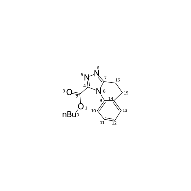 CCCCOC(=O)c1nnc2n1-c1ccccc1CC2